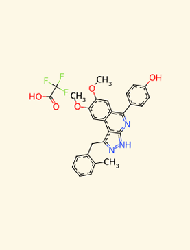 COc1cc2c(-c3ccc(O)cc3)nc3[nH]nc(Cc4ccccc4C)c3c2cc1OC.O=C(O)C(F)(F)F